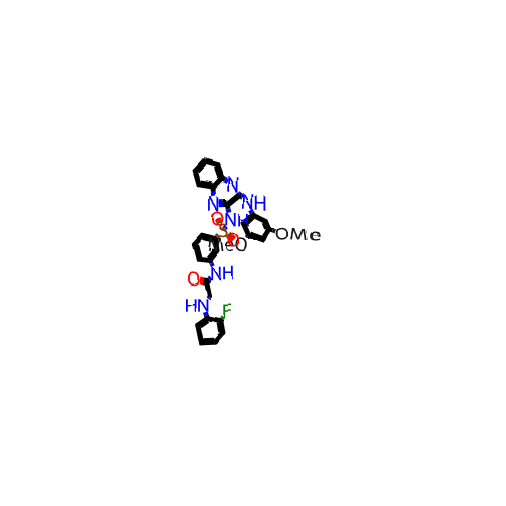 COc1cc(Nc2nc3ccccc3nc2NS(=O)(=O)c2cccc(NC(=O)CNc3ccccc3F)c2)cc(OC)c1